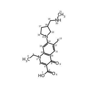 CCn1cc(C(=O)O)c(=O)c2cc(F)c(N3CCC(CNC)C3)cc21